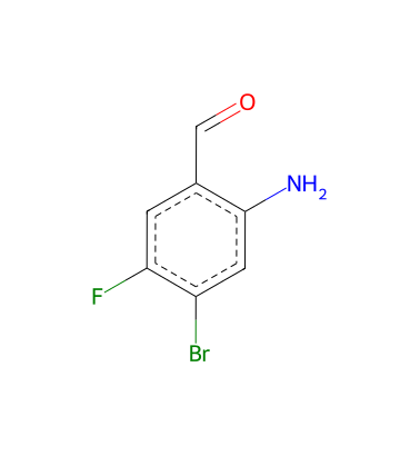 Nc1cc(Br)c(F)cc1C=O